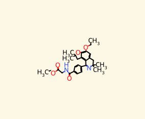 CCOC(=O)CNC(=O)c1ccc(C2=NC(C)(C)Cc3cc(OCC)c4c(c32)CC(C)(C)O4)cc1